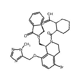 Cn1ncnc1COc1ccc(Br)c2c1[C@@H](CN1Cc3ccccc3C1=O)N(C(=O)C1CCCCC1C(=O)O)CC2